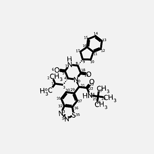 CC(C)C[C@@H]1C(=O)N[C@H](C2Cc3ccccc3C2)C(=O)N1[C@@H](C(=O)NC(C)(C)C)c1ccc2nnsc2c1